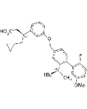 COc1ccc(F)c(-c2ccc(COc3cccc([C@H](CC(=O)O)CC4CC4)c3)cc2[C@@H](C)C(C)(C)C)c1